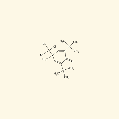 CC(C)(C)C1=CC(C)(C(Cl)(Cl)Cl)C=C(C(C)(C)C)C1=O